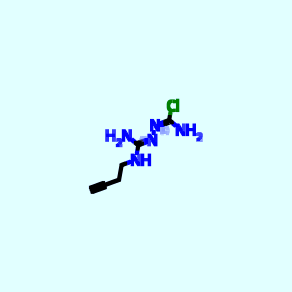 C#CCCN/C(N)=N/N=C(\N)Cl